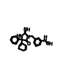 N=C1NC(C2=CCCC=C2)(c2ccccc2)C(=O)N1Cc1cccc(NO)c1